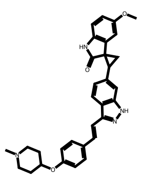 COc1ccc2c(c1)C1(CC1c1ccc3c(C=Cc4ccc(OC5CCN(C)CC5)cc4)n[nH]c3c1)C(=O)N2